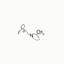 CC1CCCN(CCOc2ccccc2F)C1